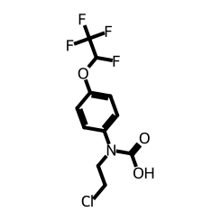 O=C(O)N(CCCl)c1ccc(OC(F)C(F)(F)F)cc1